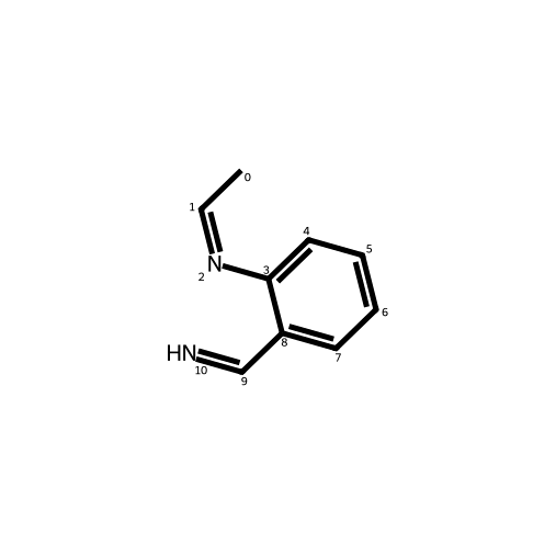 C/C=N\c1ccccc1C=N